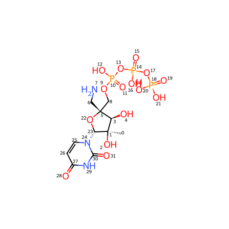 C[C@@]1(O)[C@H](O)[C@@](CN)(COP(=O)(O)OP(=O)(O)OP(=O)(O)O)O[C@H]1n1ccc(=O)[nH]c1=O